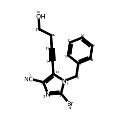 N#Cc1nc(Br)n(Cc2ccccc2)c1C#CCCO